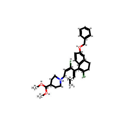 C/C=C(C1=C(Br)CCc2cc(OCc3ccccc3)ccc21)\C(F)=C/[C@H](CC)N1CCC(C(OC)OC)CC1